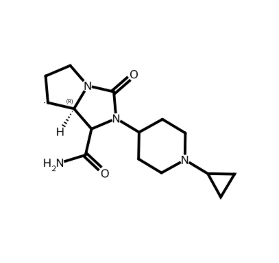 NC(=O)C1[C@H]2[CH]CCN2C(=O)N1C1CCN(C2CC2)CC1